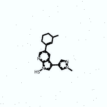 CC1C=C(c2cnc3c(c2)c(-c2cnn(C)c2)cn3S)CCC1